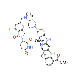 CNC(=O)c1ccccc1Nc1cc(Nc2ccc(N3CCC(N(C)Cc4cc(F)c5c(c4)CN(C4CCC(=O)NC4=O)C5=O)CC3)cc2OC)ncc1C(F)(F)F